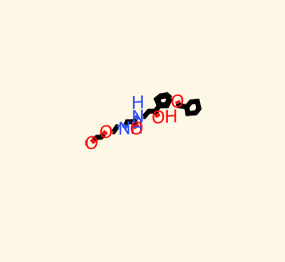 COCCOCCNCC(=O)NCCC(O)c1cccc(OCC2CCCCC2)c1